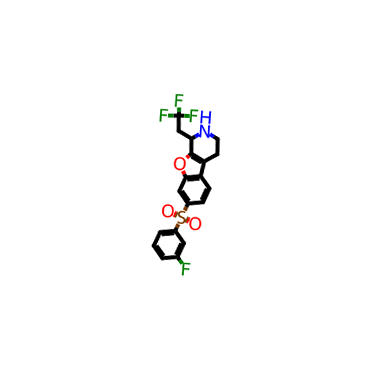 O=S(=O)(c1cccc(F)c1)c1ccc2c3c(oc2c1)C(CC(F)(F)F)NCC3